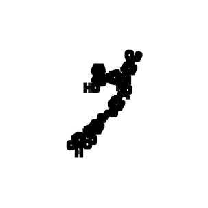 C=CC(=O)N1CCN(c2nc(O[C@H](C)CN3CCC(OCCOc4ccc5c(c4)CN(C4CCC(=O)NC4=O)C5=O)CC3)nc3c2CCN(c2cc(O)cc4ccccc24)C3)CC1